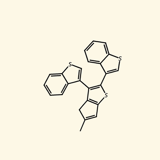 CC1=Cc2sc(-c3csc4ccccc34)c(-c3csc4ccccc34)c2C1